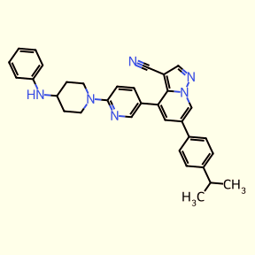 CC(C)c1ccc(-c2cc(-c3ccc(N4CCC(Nc5ccccc5)CC4)nc3)c3c(C#N)cnn3c2)cc1